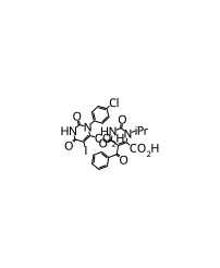 CC(C)n1c(C(=O)O)c(C(=O)c2ccccc2)c(=O)[nH]c1=O.O=C(O)c1c(I)c(=O)[nH]c(=O)n1-c1ccc(Cl)cc1